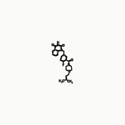 CC(C)=CCN1CCN(C(=O)c2cc(Cn3c(=O)[nH]c(=O)c4ccccc43)ccc2F)CC1